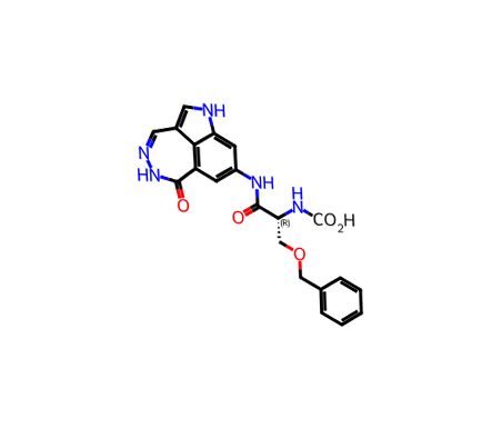 O=C(O)N[C@H](COCc1ccccc1)C(=O)Nc1cc2c3c(c[nH]c3c1)C=NNC2=O